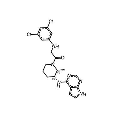 C[C@H]1[C@H](Nc2ncnc3[nH]ccc23)CCCN1C(=O)CNc1cc(Cl)cc(Cl)c1